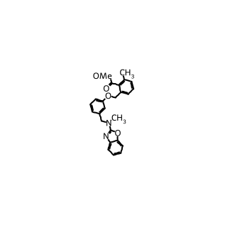 COC(=O)c1c(C)cccc1COc1cccc(CN(C)c2nc3ccccc3o2)c1